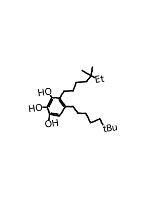 CCC(C)(C)CCCCc1c(CCCCCC(C)(C)C)cc(O)c(O)c1O